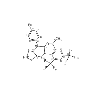 CC(OC1CCC2CNCC2C1c1ccc(F)cc1)c1cc(C(F)(F)F)cc(C(F)(F)F)c1